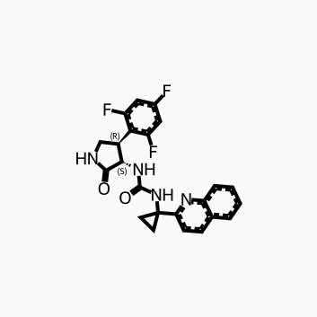 O=C(N[C@@H]1C(=O)NC[C@H]1c1c(F)cc(F)cc1F)NC1(c2ccc3ccccc3n2)CC1